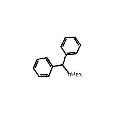 [CH2]CCCCCC(c1ccccc1)c1ccccc1